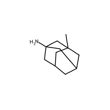 CC12CC3CC(C1)CC(N)(C3)C2